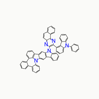 c1ccc(-n2c3ccccc3c3c(-c4nc5c(ccc6ccccc65)nc4-n4c5ccccc5c5cc6c(cc54)c4cccc5c4n6-c4ccccc4-c4ccccc4-5)cccc32)cc1